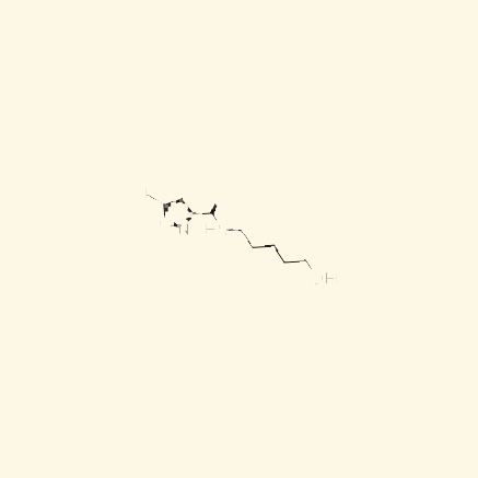 O=C(NCCCCCO)c1cc(I)on1